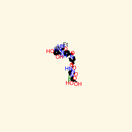 CCNC(=O)C(=N)N(C(=N)c1cc(C(C)C)c(O)cc1O)c1ccc(C(=O)N2CCC(COC(=O)Nc3ccn([C@H]4O[C@@H](CO)C(O)C4(F)F)c(=O)n3)CC2)cc1